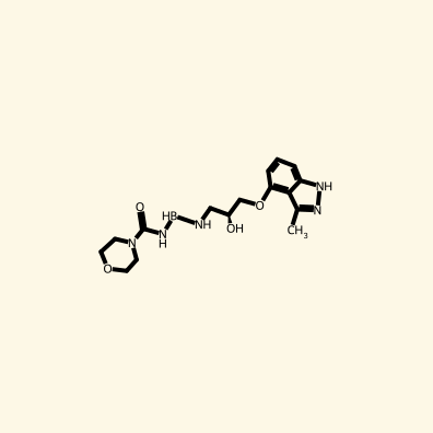 Cc1n[nH]c2cccc(OC[C@@H](O)CNBNC(=O)N3CCOCC3)c12